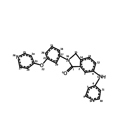 O=C1c2cc(Nc3ccncc3)ccc2CN1c1cccc(Oc2ccncc2)c1